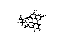 Cn1c(=O)nc(N(CC(F)F)c2cc(F)cc(C#CC3(C(F)(F)F)CC3)c2)c2ccc(Cl)cc21